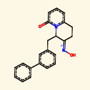 O=c1cccc2n1C(Cc1cccc(-c3ccccc3)c1)/C(=N/O)CC2